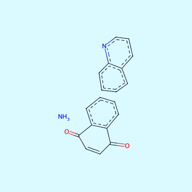 N.O=C1C=CC(=O)c2ccccc21.c1ccc2ncccc2c1